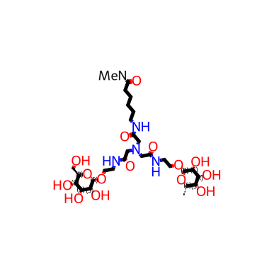 CNC(=O)CCCCCNC(=O)CN(CC(=O)NCCO[C@@H]1O[C@H](CO)[C@@H](O)[C@H](O)[C@@H]1O)CC(=O)NCCO[C@@H]1O[C@@H](C)[C@@H](O)[C@@H](O)[C@@H]1O